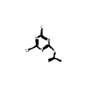 C=C(C)Sc1nc(Cl)nc(Cl)n1